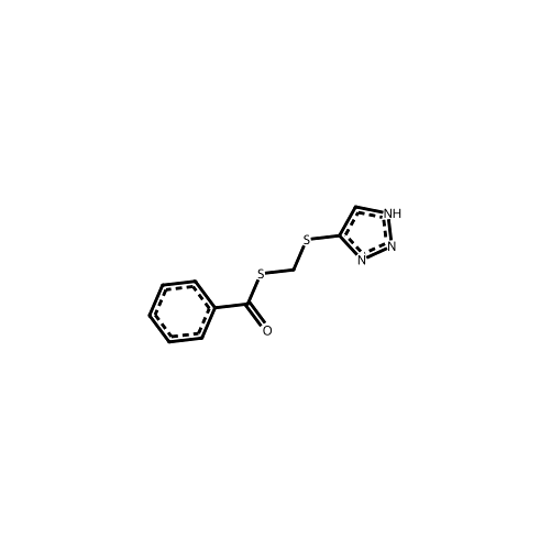 O=C(SCSc1c[nH]nn1)c1ccccc1